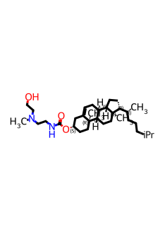 CC(C)CCC[C@@H](C)[C@H]1CC[C@H]2[C@@H]3CC=C4C[C@@H](OC(=O)NCCN(C)CCO)CC[C@]4(C)[C@H]3CC[C@]12C